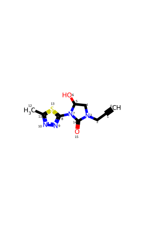 C#CCN1CC(O)N(c2nnc(C)s2)C1=O